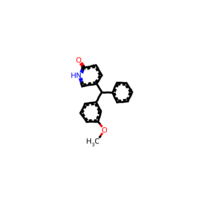 COc1cccc(C(c2ccccc2)c2ccc(=O)[nH]c2)c1